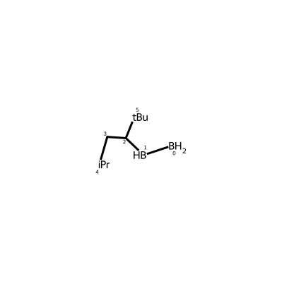 BBC(CC(C)C)C(C)(C)C